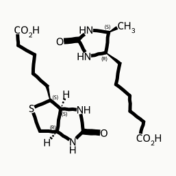 C[C@@H]1NC(=O)N[C@@H]1CCCCCC(=O)O.O=C(O)CCCC[C@@H]1SC[C@@H]2NC(=O)N[C@@H]21